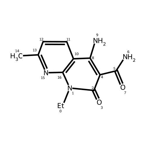 CCn1c(=O)c(C(N)=O)c(N)c2ccc(C)nc21